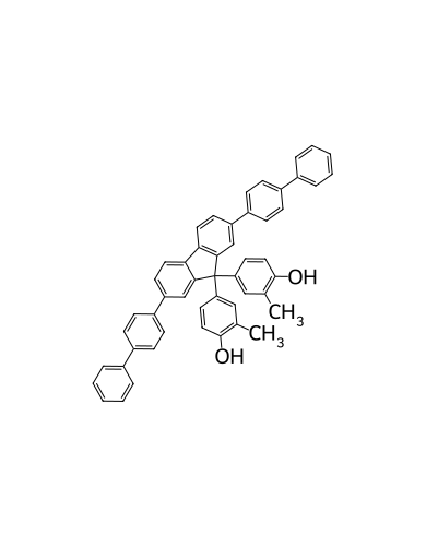 Cc1cc(C2(c3ccc(O)c(C)c3)c3cc(-c4ccc(-c5ccccc5)cc4)ccc3-c3ccc(-c4ccc(-c5ccccc5)cc4)cc32)ccc1O